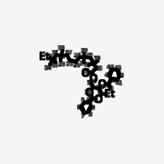 CCC1OC(c2ccccc2)OC(COC(=O)CC(C)(C)CC(C)(C)C/C=C\CC(C)(C)CC(C)(C)CC)C1OC(C)c1ccccc1